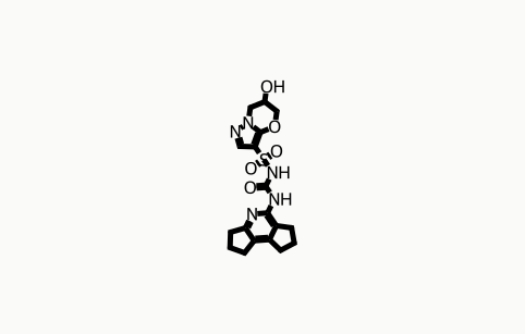 O=C(Nc1nc2c(c3c1CCC3)CCC2)NS(=O)(=O)c1cnn2c1OCC(O)C2